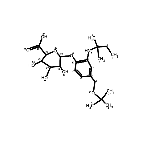 CCC(C)(C)Nc1cc(COC(C)(C)C)ccc1OC1OC(C(=O)O)C(O)C(O)C1O